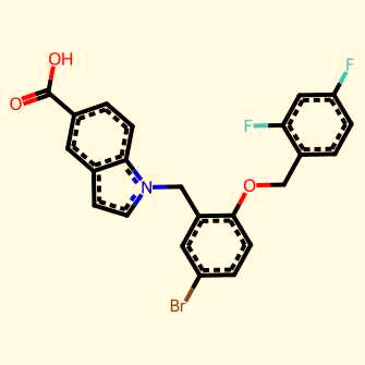 O=C(O)c1ccc2c(ccn2Cc2cc(Br)ccc2OCc2ccc(F)cc2F)c1